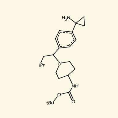 CC(C)CC(c1ccc(C2(N)CC2)cc1)N1CCC(NC(=O)OC(C)(C)C)CC1